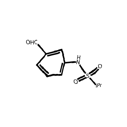 CC(C)S(=O)(=O)Nc1cccc(C=O)c1